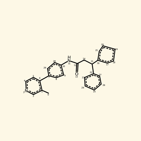 Cc1cnccc1-c1ccc(NC(=O)[CH]C(c2ccccc2)c2ccccc2)cc1